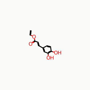 C=COC(=O)/C=C/c1ccc(O)c(O)c1